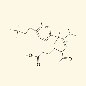 CC(=O)N(/C=C(/C(C)C)C(C)(C)c1ccc(CCC(C)(C)C)c(C)c1)CCCC(=O)O